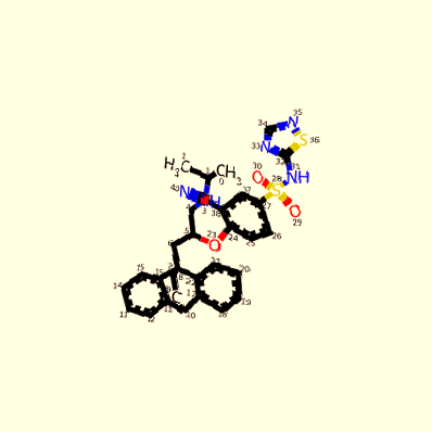 CC(C)NCC(CC12CCC(c3ccccc31)c1ccccc12)Oc1ccc(S(=O)(=O)Nc2ncns2)cc1C#N